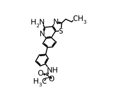 CCCc1nc2c(N)nc3cc(-c4cccc(NS(C)(=O)=O)c4)ccc3c2s1